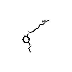 CCOc1cccc(OCCCCCNI)c1